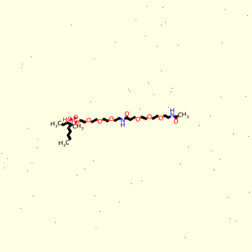 CCCCCC(C)(CCC)P(=O)(O)OCCOCCOCCOCCNC(=O)CCOCCOCCOCCNC(C)=O